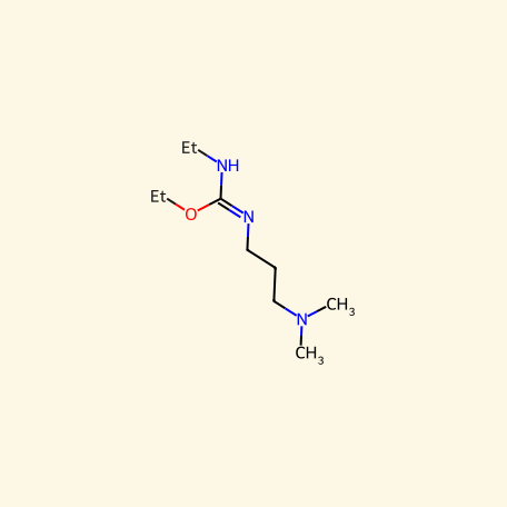 CCN/C(=N/CCCN(C)C)OCC